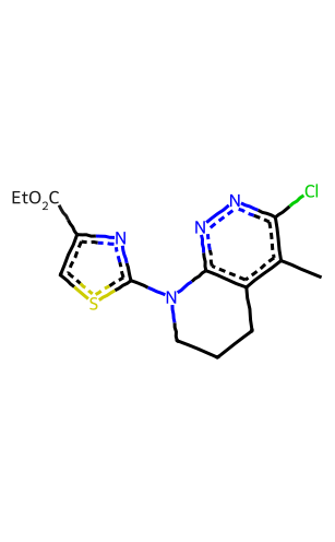 CCOC(=O)c1csc(N2CCCc3c2nnc(Cl)c3C)n1